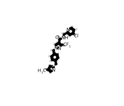 Cc1cnn(Cc2ccc(Cn3cc(C(=O)NCc4cc(Cl)ccn4)c(C(F)(F)F)n3)cc2)c1